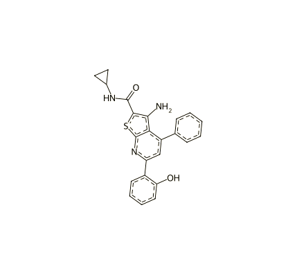 Nc1c(C(=O)NC2CC2)sc2nc(-c3ccccc3O)cc(-c3ccccc3)c12